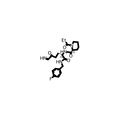 CCC(=O)N1CCCC[C@H]1C(=O)N[C@@H](CCC(=O)C=N)C(=O)NCc1ccc(F)cc1